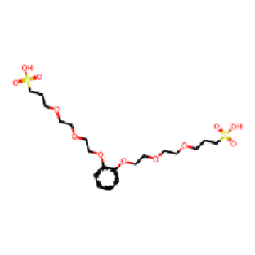 O=S(=O)(O)CCCOCCOCCOc1ccccc1OCCOCCOCCCS(=O)(=O)O